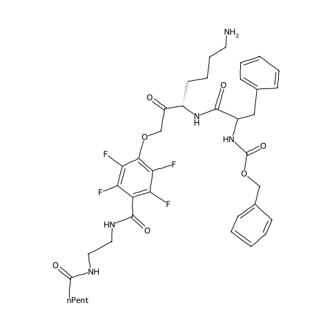 CCCCCC(=O)NCCNC(=O)c1c(F)c(F)c(OCC(=O)[C@H](CCCCN)NC(=O)C(Cc2ccccc2)NC(=O)OCc2ccccc2)c(F)c1F